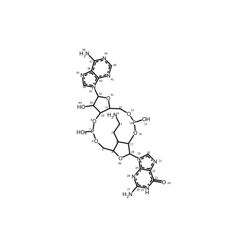 NCCC1C2COP(O)OC3C(COP(O)OC1C(n1cnc4c(=O)[nH]c(N)nc41)O2)OC(n1cnc2c(N)ncnc21)C3O